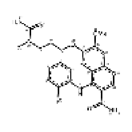 CCc1ccccc1Nc1c(C(N)=O)cnc2cc(OC)c(OCCCN(C)C(N)=O)cc12